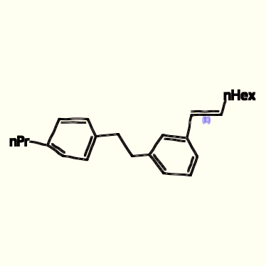 CCCCCC/C=C/c1cccc(CCc2ccc(CCC)cc2)c1